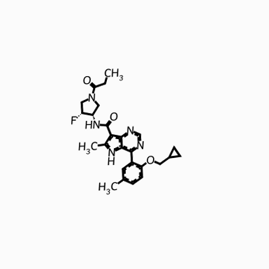 CCC(=O)N1C[C@@H](F)[C@@H](NC(=O)c2c(C)[nH]c3c(-c4cc(C)ccc4OCC4CC4)ncnc23)C1